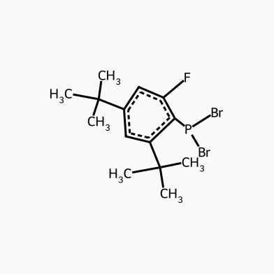 CC(C)(C)c1cc(F)c(P(Br)Br)c(C(C)(C)C)c1